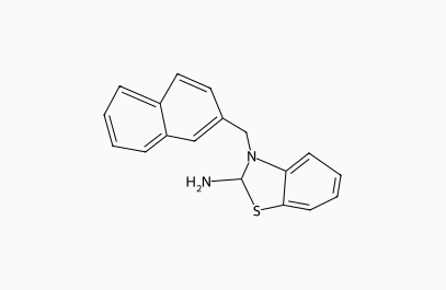 NC1Sc2ccccc2N1Cc1ccc2ccccc2c1